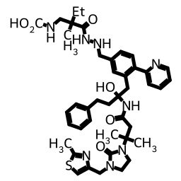 CCC(C)(CNC(=O)O)C(=O)NNCc1ccc(-c2ccccn2)c(CC(O)(CCc2ccccc2)NC(=O)CC(C)(C)N2CCN(Cc3csc(C)n3)C2=O)c1